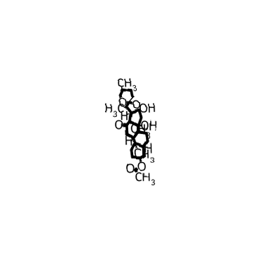 CC(=O)O[C@H]1CC[C@@]2(C)[C@@H](CCC3[C@@H]2CC(=O)[C@]2(C)[C@H]4[C@H](C)[C@@]5(CC[C@@H](C)CO5)O[C@@]4(O)C[C@]32O)C1